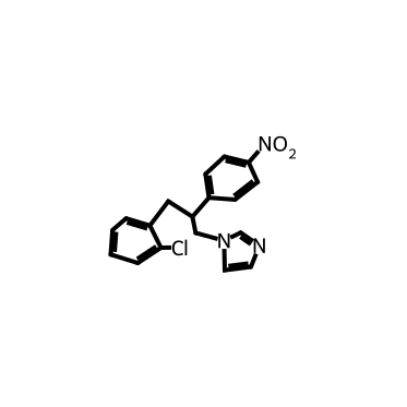 O=[N+]([O-])c1ccc(C(Cc2ccccc2Cl)Cn2ccnc2)cc1